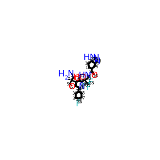 C[C@]1(C(N)=O)COc2c1cc(C(O)(CNC(=O)c1ccc3[nH]nnc3c1)C(F)(F)F)nc2-c1ccc(F)cc1